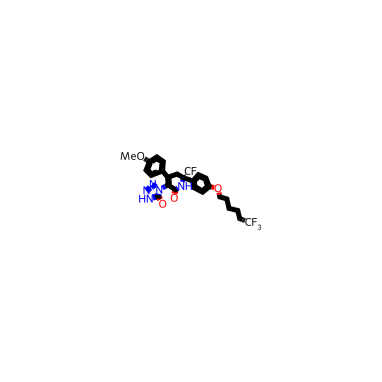 COc1ccc(C2=C(n3nn[nH]c3=O)C(=O)N[C@@](c3ccc(OCCCCCC(F)(F)F)cc3)(C(F)(F)F)C2)cc1